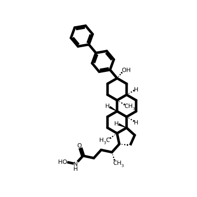 C[C@H](CCC(=O)NO)[C@H]1CC[C@H]2[C@@H]3CC[C@@H]4C[C@](O)(c5ccc(-c6ccccc6)cc5)CC[C@]4(C)[C@H]3CC[C@]12C